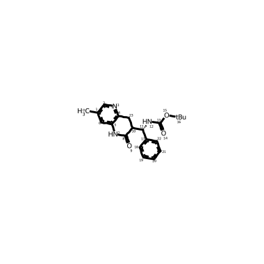 Cc1cnc2c(c1)NC(=O)C([C@H](NC(=O)OC(C)(C)C)c1ccccc1)C2